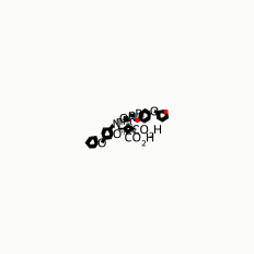 CCCN(Cc1ccc(Oc2ccccc2)cc1)C(=O)[C@@H]1[C@H](C(=O)O)[C@@H](C(=O)O)[C@H]1C(=O)N(CCC)Cc1ccc(Oc2ccccc2)cc1